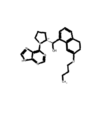 CCCCOC1=Cc2c(cccc2C(O)[C@H]2CCCN2c2ncnc3[nH]cnc23)CC1